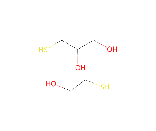 OCC(O)CS.OCCS